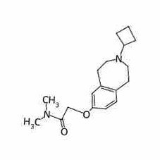 CN(C)C(=O)COc1ccc2c(c1)CCN(C1CCC1)CC2